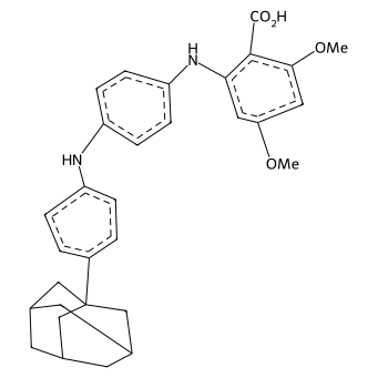 COc1cc(Nc2ccc(Nc3ccc(C45CC6CC(CC(C6)C4)C5)cc3)cc2)c(C(=O)O)c(OC)c1